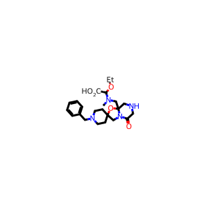 CCOC(C(=O)O)N(C)CC12CNCC(=O)N1CC1(CCN(Cc3ccccc3)CC1)O2